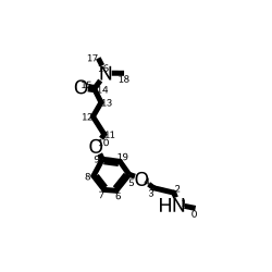 CNCCOc1cccc(OCCCC(=O)N(C)C)c1